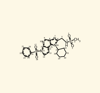 CS(=O)(=O)NCc1nc2cnc3c(ccn3S(=O)(=O)c3ccccc3)c2n1C1CCCCC1